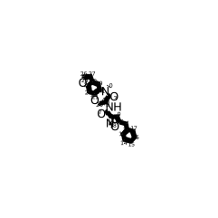 CN1C(=O)[C@@H](NC(=O)c2cc(Cc3ccccc3)on2)COc2cc3occc3cc21